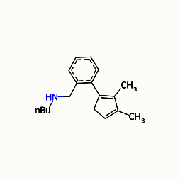 CCCCNCc1ccccc1C1=C(C)C(C)=CC1